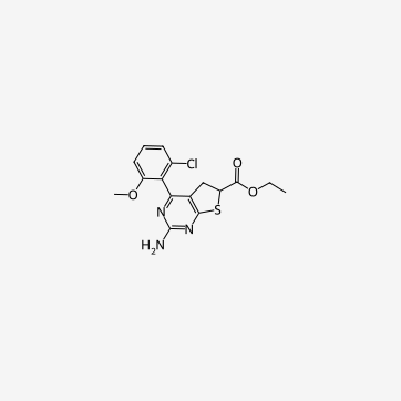 CCOC(=O)C1Cc2c(nc(N)nc2-c2c(Cl)cccc2OC)S1